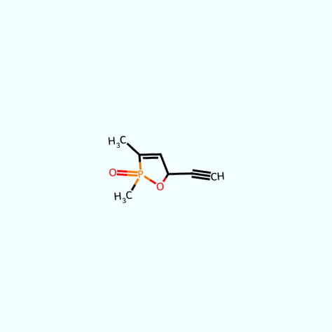 C#CC1C=C(C)P(C)(=O)O1